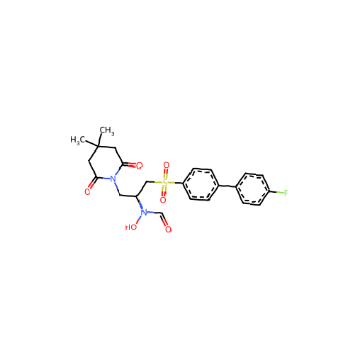 CC1(C)CC(=O)N(CC(CS(=O)(=O)c2ccc(-c3ccc(F)cc3)cc2)N(O)C=O)C(=O)C1